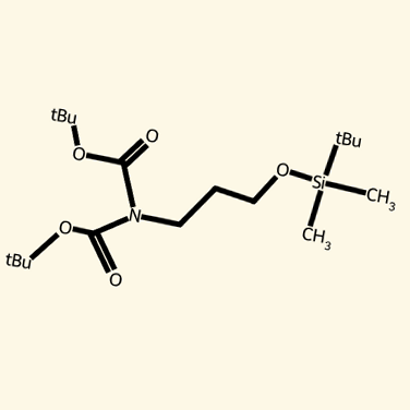 CC(C)(C)OC(=O)N(CCCO[Si](C)(C)C(C)(C)C)C(=O)OC(C)(C)C